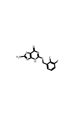 Nc1nc2[nH]c(SCc3cccc(F)c3F)nc(=O)c2s1